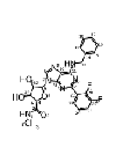 CNC(=O)[C@@H]1OC(n2cnc3c(NCc4ccccc4)nc(-c4cccc(F)c4F)nc32)C(O)C1O